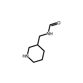 O=CNCC1CCCNC1